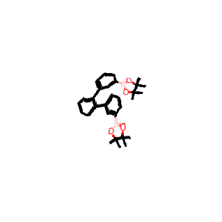 CC1(C)OB(c2cccc(-c3ccccc3-c3cccc(B4OC(C)(C)C(C)(C)O4)c3)c2)OC1(C)C